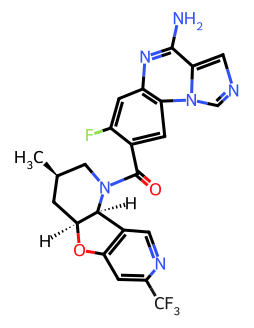 C[C@@H]1C[C@@H]2Oc3cc(C(F)(F)F)ncc3[C@@H]2N(C(=O)c2cc3c(cc2F)nc(N)c2cncn23)C1